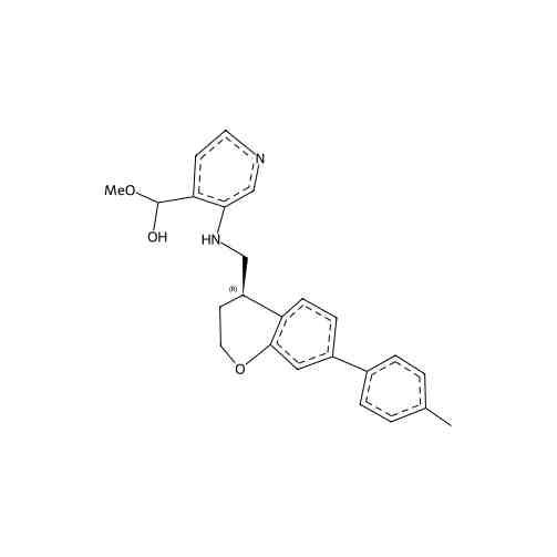 COC(O)c1ccncc1NC[C@@H]1CCOc2cc(-c3ccc(C)cc3)ccc21